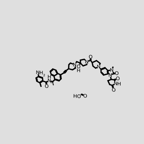 Cc1ccc(N)cc1C(=O)N[C@H](C)c1ccc(C#CC2CCN(CC3(O)CCN(C(=O)C4CCN(c5ccc6c(c5)n(C)c(=O)n6C5CCC(=O)NC5=O)CC4)CC3)CC2)c2ccccc12.O=CO